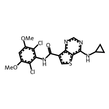 COc1cc(OC)c(Cl)c(NC(=O)c2csc3c(NC4CC4)ncnc23)c1Cl